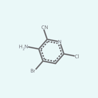 N#Cc1nc(Cl)cc(Br)c1N